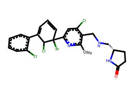 COc1nc(C2(Br)C=CC=C(c3ccccc3Cl)C2Cl)cc(Cl)c1CNC[C@@H]1CCC(=O)N1